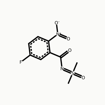 CS(C)(=O)=NC(=O)c1cc(F)ccc1[N+](=O)[O-]